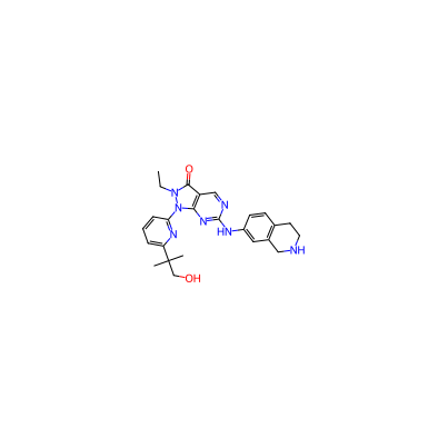 CCn1c(=O)c2cnc(Nc3ccc4c(c3)CNCC4)nc2n1-c1cccc(C(C)(C)CO)n1